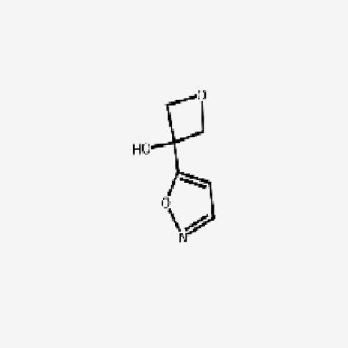 OC1(c2ccno2)COC1